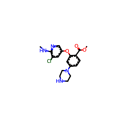 CNc1ncc(Oc2cc(N3CCNCC3)ccc2C(=O)OC)cc1Cl